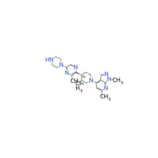 Cc1cc(N2CC[C@H](c3ncc(N4CCNCC4)nc3C)[C@H](C)C2)c2cnn(C)c2n1